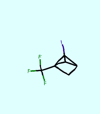 FC(F)(F)C12CC(C1)C2I